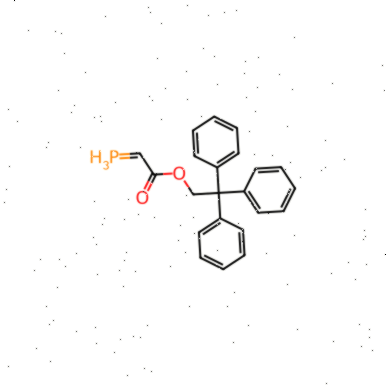 O=C(C=[PH3])OCC(c1ccccc1)(c1ccccc1)c1ccccc1